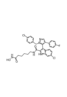 O=C(CCCCCNC(=O)c1[nH]c2cc(Cl)ccc2c1-c1c(-c2ccc(F)cc2)cnn1Cc1ccc(Cl)cc1)NO